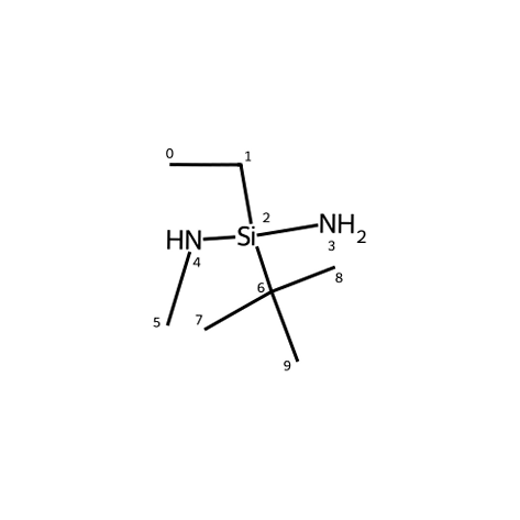 CC[Si](N)(NC)C(C)(C)C